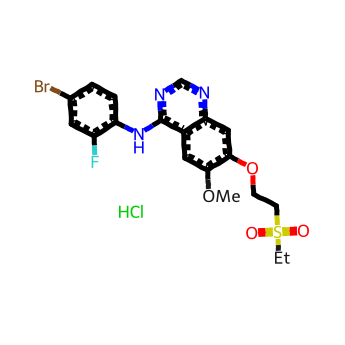 CCS(=O)(=O)CCOc1cc2ncnc(Nc3ccc(Br)cc3F)c2cc1OC.Cl